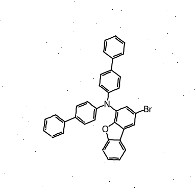 Brc1cc(N(c2ccc(-c3ccccc3)cc2)c2ccc(-c3ccccc3)cc2)c2oc3ccccc3c2c1